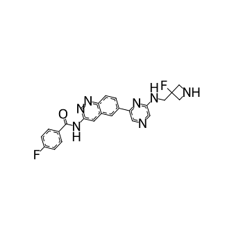 O=C(Nc1cc2cc(-c3cncc(NCC4(F)CNC4)n3)ccc2nn1)c1ccc(F)cc1